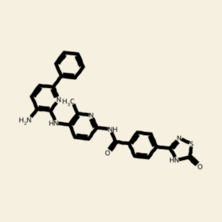 Cc1nc(NC(=O)c2ccc(-c3nsc(=O)[nH]3)cc2)ccc1Nc1nc(-c2ccccc2)ccc1N